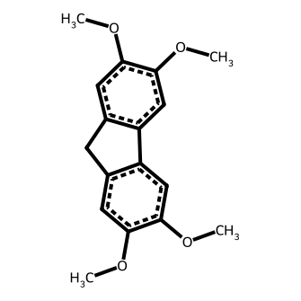 COc1cc2c(cc1OC)-c1cc(OC)c(OC)cc1C2